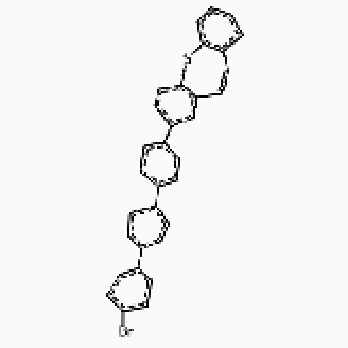 Brc1ccc(-c2ccc(-c3ccc(-c4ccc5c(c4)C=Cc4ccccc4S5)cc3)cc2)cc1